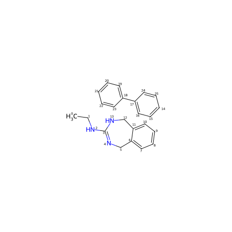 CCNC1=NCc2ccccc2CN1.c1ccc(-c2ccccc2)cc1